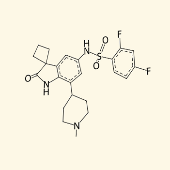 CN1CCC(c2cc(NS(=O)(=O)c3ccc(F)cc3F)cc3c2NC(=O)C32CCC2)CC1